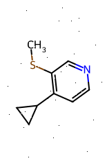 CSc1cnccc1C1CC1